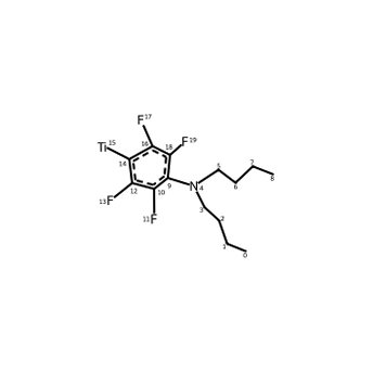 CCCCN(CCCC)c1c(F)c(F)[c]([Ti])c(F)c1F